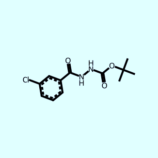 CC(C)(C)OC(=O)NNC(=O)c1cccc(Cl)c1